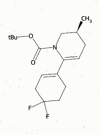 C[C@H]1CC=C(C2=CCC(F)(F)CC2)N(C(=O)OC(C)(C)C)C1